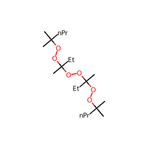 CCCC(C)(C)OOC(C)(CC)OOC(C)(CC)OOC(C)(C)CCC